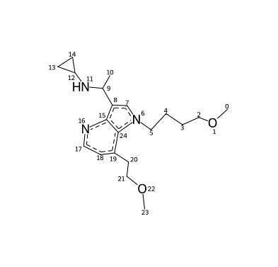 COCCCCn1cc(C(C)NC2CC2)c2nccc(CCOC)c21